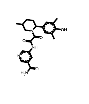 Cc1cc(C2CCC(C)CN2C(=O)C(=O)Nc2cncc(C(N)=O)c2)cc(C)c1O